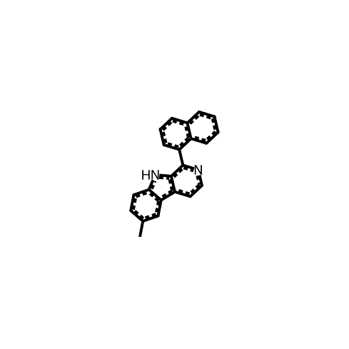 Cc1ccc2[nH]c3c(-c4cccc5ccccc45)nccc3c2c1